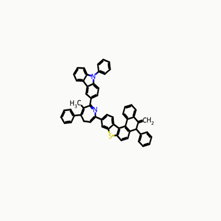 C=C1c2ccccc2-c2c(ccc3sc4cc(C5=CCC(c6ccccc6)=C(C)C(c6ccc7c(c6)c6ccccc6n7-c6ccccc6)=N5)ccc4c23)C1c1ccccc1